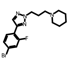 Fc1cc(Br)ccc1-c1cnn(CCCN2CCCCC2)n1